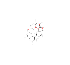 Fc1c(F)c(F)c2c(N(c3c(F)c(F)c(F)c4c(F)c(F)c(F)c(F)c34)c3c(F)c(F)c(F)c4c(F)c(F)c(F)c(F)c34)c(F)c(F)c(F)c2c1F